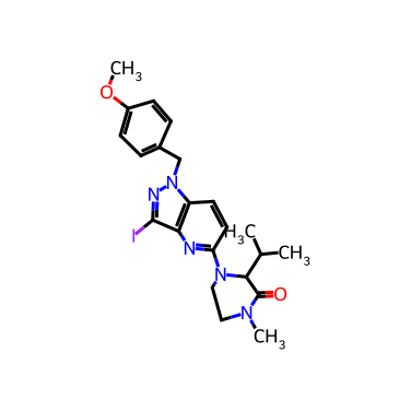 COc1ccc(Cn2nc(I)c3nc(N4CCN(C)C(=O)C4C(C)C)ccc32)cc1